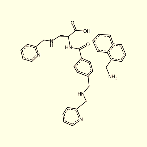 NCc1cccc2ccccc12.O=C(N[C@@H](CNCc1ccccn1)C(=O)O)c1ccc(CNCc2ccccn2)cc1